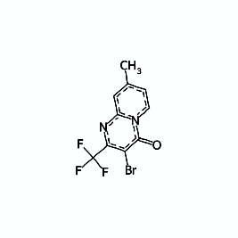 Cc1ccn2c(=O)c(Br)c(C(F)(F)F)nc2c1